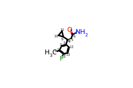 Cc1cc([C@H](CC(N)=O)C2CC2)ccc1F